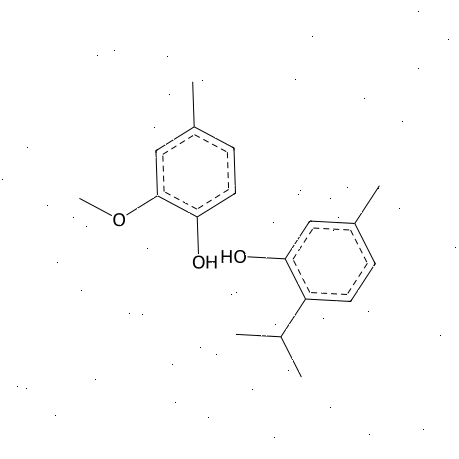 COc1cc(C)ccc1O.Cc1ccc(C(C)C)c(O)c1